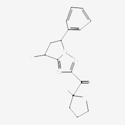 CC1(C(=O)c2nc3n(n2)C(c2ccccc2)CC3F)CCCO1